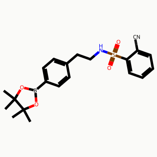 CC1(C)OB(c2ccc(CCNS(=O)(=O)c3ccccc3C#N)cc2)OC1(C)C